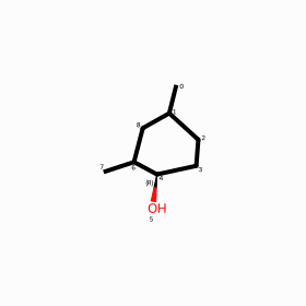 CC1CC[C@@H](O)C(C)C1